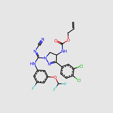 C=CCOC(=O)NC1CN(/C(=N\C#N)Nc2cc(F)cc(OC(F)F)c2)N=C1c1ccc(Cl)c(Cl)c1